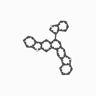 c1ccc2c(c1)oc1cc3c(cc12)c(-c1csc2ccccc12)cc1cc2sc4ccccc4c2cc13